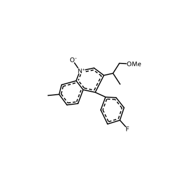 COCC(C)c1c[n+]([O-])c2cc(C)ccc2c1-c1ccc(F)cc1